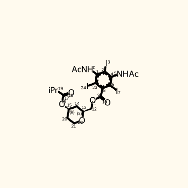 CC(=O)Nc1c(I)c(NC(C)=O)c(I)c(C(=O)OC[C@@H]2C[C@H](OC(=O)C(C)C)CCO2)c1I